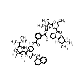 CCC[C@H](NC(=O)[C@H](C)NC)C(=O)N1C[C@@H](NC(=O)c2cccc(C(=O)N[C@H]3C[C@@H](C(=O)N[C@@H]4CCCc5ccccc54)N(C(=O)[C@@H](NC(=O)[C@H](C)NC)C(C)(C)C)C3)c2)C[C@H]1C(=O)N[C@H](C)C(C)C